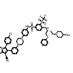 Cc1c(C#N)c(-c2cccc(N3CCN(c4ccc(NS(=O)(=O)c5ccc(N[C@H](CCN6CCC(O)CC6)CSc6ccccc6)c(S(=O)(=O)C(F)(F)F)c5)cc4)CC3)c2)c(-c2ccc(Cl)cc2)n1C